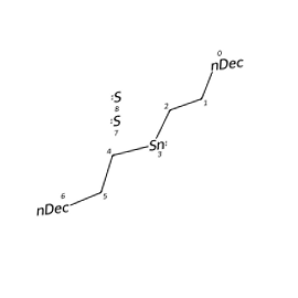 CCCCCCCCCCC[CH2][Sn][CH2]CCCCCCCCCCC.[S].[S]